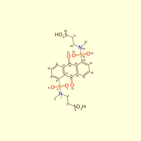 CN(CCS(=O)(=O)O)S(=O)(=O)c1cccc2c1C(=O)c1cccc(S(=O)(=O)N(C)CCS(=O)(=O)O)c1C2=O